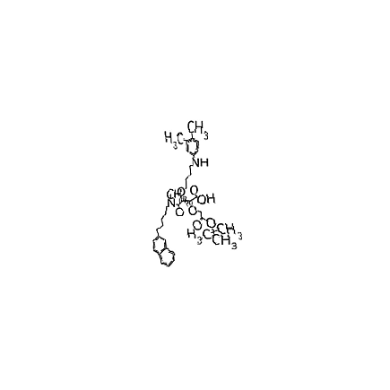 Cc1ccc(NCCCCO[C@@H](C(=O)N(C)CCCCCc2ccc3ccccc3c2)[C@@H](OCC(=O)OC(C)(C)C)C(=O)O)cc1C